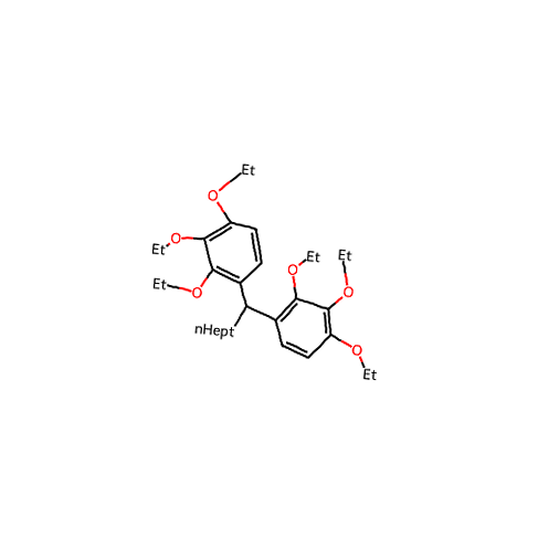 CCCCCCCC(c1ccc(OCC)c(OCC)c1OCC)c1ccc(OCC)c(OCC)c1OCC